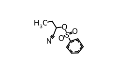 CCC(C#N)OS(=O)(=O)c1ccccc1